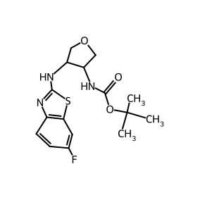 CC(C)(C)OC(=O)NC1COCC1Nc1nc2ccc(F)cc2s1